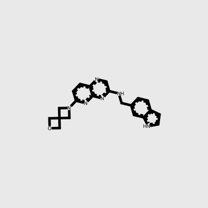 c1cc2ccc(CNc3cnc4ccc(N5CC6(COC6)C5)nc4n3)cc2[nH]1